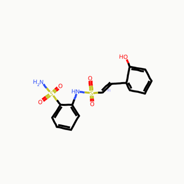 NS(=O)(=O)c1ccccc1NS(=O)(=O)/C=C/c1ccccc1O